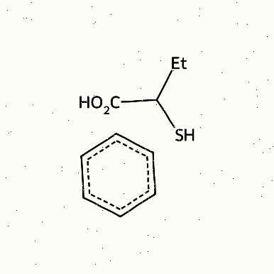 CCC(S)C(=O)O.c1ccccc1